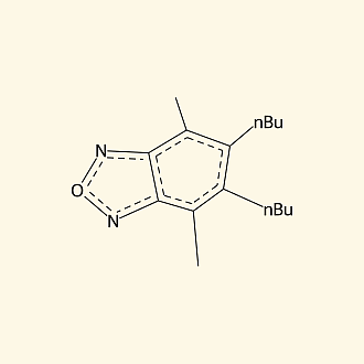 CCCCc1c(CCCC)c(C)c2nonc2c1C